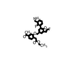 CCOC(=O)Cc1ccc(C(C)=O)cc1OCc1cc(-c2cccc(CN)c2F)c2oc(F)cc2c1